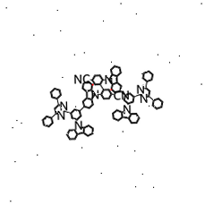 N#Cc1ccc(-n2c3ccccc3c3cc(-c4cc(-c5nc(-c6ccccc6)cc(-c6ccccc6)n5)cc(-n5c6ccccc6c6ccccc65)c4)ccc32)c(-c2cc(C#N)ccc2-n2c3ccccc3c3cc(-c4cc(-c5nc(-c6ccccc6)cc(-c6ccccc6)n5)cc(-n5c6ccccc6c6ccccc65)c4)ccc32)c1